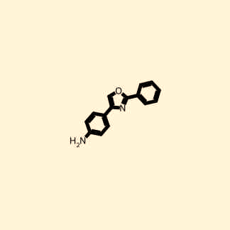 Nc1ccc(-c2coc(-c3ccccc3)n2)cc1